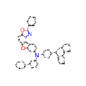 c1ccc(-c2cccc(N(c3ccc(-c4cc5ccccc5c5ccccc45)cc3)c3ccc4c(c3)oc3ccc5oc(-c6ccccc6)nc5c34)c2)cc1